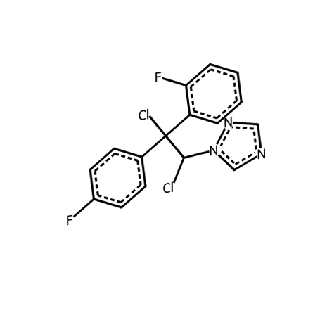 Fc1ccc(C(Cl)(c2ccccc2F)C(Cl)n2cncn2)cc1